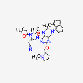 C=CC(=O)N1CCN(c2nc(OC[C@@H]3CCCN3C)nc3c2N(C(C)=O)CCN(c2cccc4cccc(C)c24)C3)C[C@@H]1CC#N